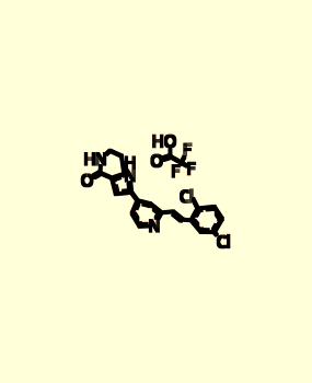 O=C(O)C(F)(F)F.O=C1NCCc2[nH]c(-c3ccnc(/C=C/c4cc(Cl)ccc4Cl)c3)cc21